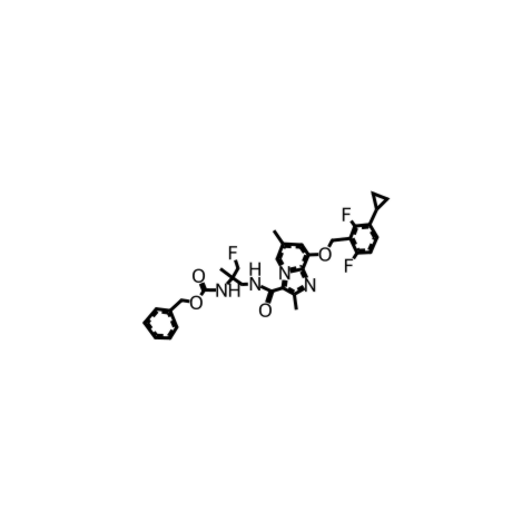 Cc1cc(OCc2c(F)ccc(C3CC3)c2F)c2nc(C)c(C(=O)NCC(C)(CF)NC(=O)OCc3ccccc3)n2c1